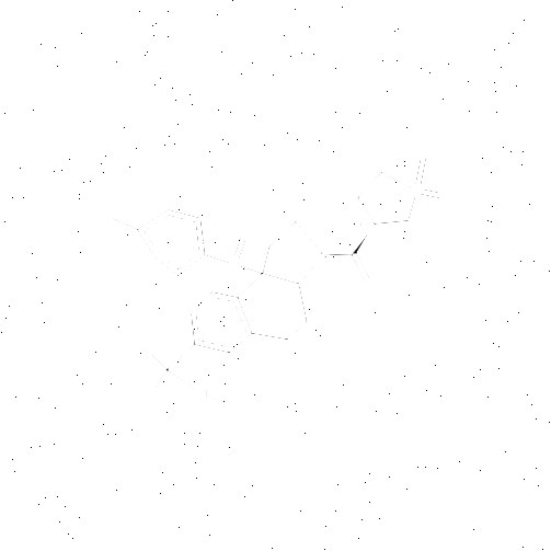 O=C([C@H]1CCS(=O)(=O)C1)N1CCC2(S(=O)(=O)c3ccc(Cl)cc3)c3ccc(C(F)(C(F)(F)F)C(F)(F)F)cc3CCC12